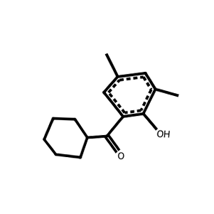 Cc1cc(C)c(O)c(C(=O)C2CCCCC2)c1